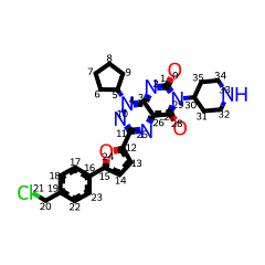 O=c1nc2n(C3CCCC3)nc(-c3ccc(-c4ccc(CCl)cc4)o3)nc-2c(=O)n1C1CCNCC1